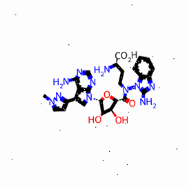 Cn1ccc(-c2cn([C@@H]3O[C@H](C(=O)N(CC[C@H](N)C(=O)O)n4c(N)nc5ccccc54)[C@@H](O)[C@H]3O)c3ncnc(N)c23)n1